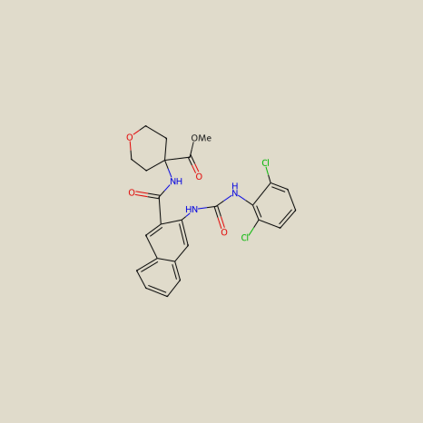 COC(=O)C1(NC(=O)c2cc3ccccc3cc2NC(=O)Nc2c(Cl)cccc2Cl)CCOCC1